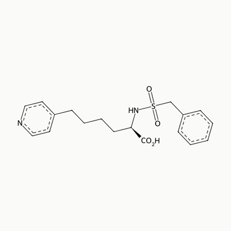 O=C(O)[C@@H](CCCCc1ccncc1)NS(=O)(=O)Cc1ccccc1